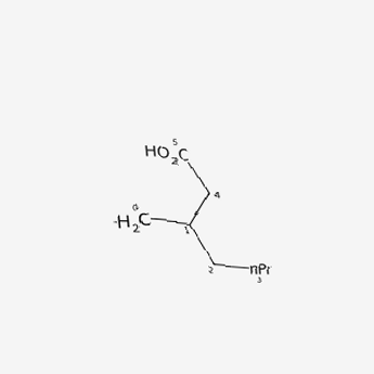 [CH2]C(CCCC)CC(=O)O